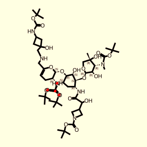 CN(C(=O)OC(C)(C)C)[C@@H]1[C@@H](O)[C@@H](O[C@@H]2[C@@H](O)[C@H](O[C@H]3OC(CNCC4(O)CC(NC(=O)OC(C)(C)C)C4)=CC[C@H]3NC(=O)OC(C)(C)C)[C@@H](NC(=O)OC(C)(C)C)C[C@H]2NC(=O)C(O)C2CN(C(=O)OC(C)(C)C)C2)OC[C@]1(C)O